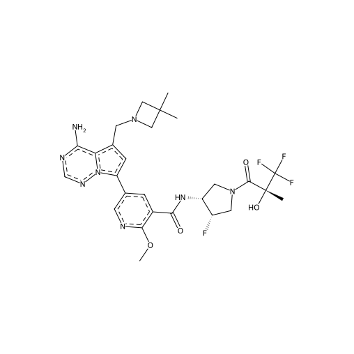 COc1ncc(-c2cc(CN3CC(C)(C)C3)c3c(N)ncnn23)cc1C(=O)N[C@@H]1CN(C(=O)[C@@](C)(O)C(F)(F)F)C[C@@H]1F